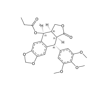 [2H][C@@]1(OC(=O)CC)c2cc3c(cc2[C@@H](c2cc(OC)c(OC)c(OC)c2)[C@@H]2C(=O)OC[C@@H]21)OCO3